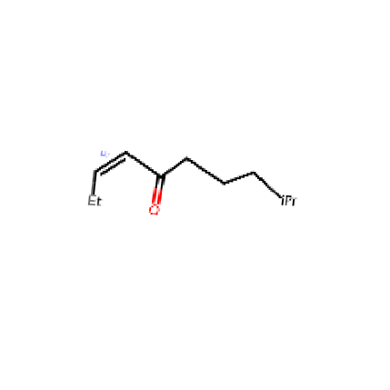 CC/C=C\C(=O)CCCC(C)C